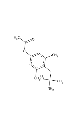 CC(=O)Oc1cc(C)c(CC(C)(C)N)c(C)c1